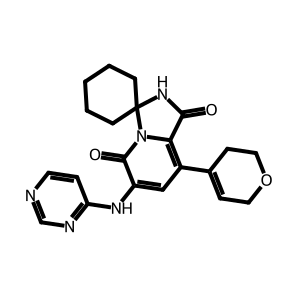 O=C1NC2(CCCCC2)n2c1c(C1=CCOCC1)cc(Nc1ccncn1)c2=O